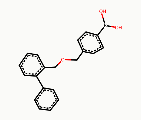 OB(O)c1ccc(COCc2ccccc2-c2ccccc2)cc1